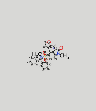 CN1C(=O)/C(=C/c2ccco2)c2cc(S(=O)(=O)N(C)C(c3ccccc3)c3ccccc3)ccc21